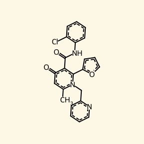 Cc1cc(=O)c(C(=O)Nc2ccccc2Cl)c(-c2ccco2)n1Cc1ccccn1